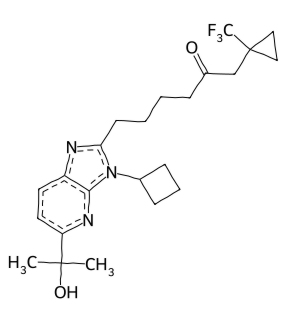 CC(C)(O)c1ccc2nc(CCCCC(=O)CC3(C(F)(F)F)CC3)n(C3CCC3)c2n1